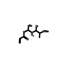 C=CC(=O)OC(CCCC)[SiH2]C(CC)C(C)OC